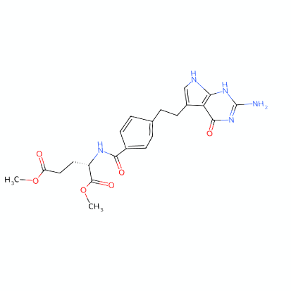 COC(=O)CC[C@H](NC(=O)c1ccc(CCc2c[nH]c3[nH]c(N)nc(=O)c23)cc1)C(=O)OC